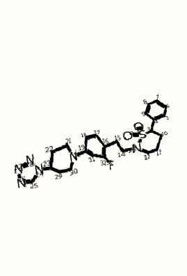 O=S1(=O)C(c2ccccc2)CCCN1CCc1ccc(N2CCC(n3cnnn3)CC2)cc1F